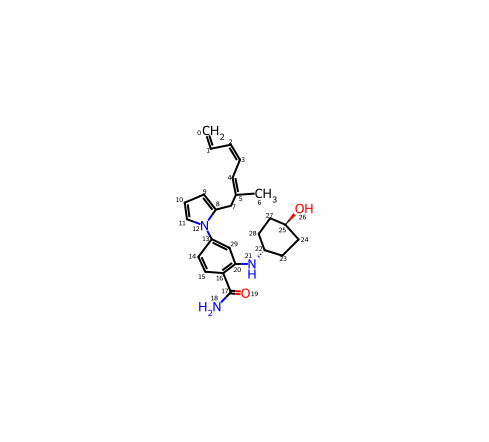 C=C/C=C\C=C(/C)Cc1cccn1-c1ccc(C(N)=O)c(N[C@H]2CC[C@H](O)CC2)c1